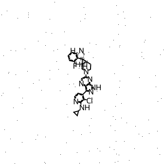 NC[C@]1(c2ccccc2F)[C@@H]2CCN(c3cnc4c(-c5ccnc(NC6CC6)c5Cl)n[nH]c4n3)C[C@@H]21